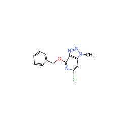 Cn1nnc2c(OCc3ccccc3)nc(Cl)cc21